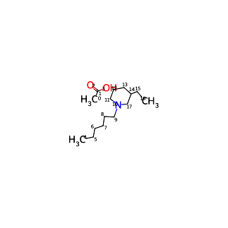 CC(=O)O.CCCCCCN1CCCC(CC)C1